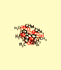 CC(O)Sc1c2c(c(C(O)(c3c4c(c(SC(C)O)c5c3OC(C)(C)O5)OC(C)(C)O4)c3c4c(c(SC(C)O)c5c3OC(C)(C)O5)OC(C)(C)O4)c3c1OC(C)(C)O3)OC(C)(C)O2